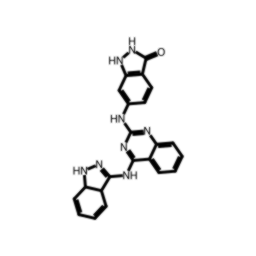 O=c1[nH][nH]c2cc(Nc3nc(NC4=NNC5C=CC=CC45)c4ccccc4n3)ccc12